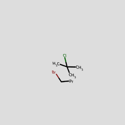 CC(C)(C)Cl.CC(C)CBr